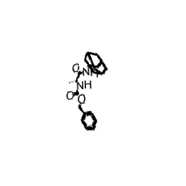 C[C@@H](NC(=O)OCc1ccccc1)C(=O)NC12CC3CC(CC(C3)C1)C2